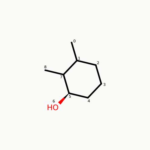 CC1CCC[C@@H](O)C1C